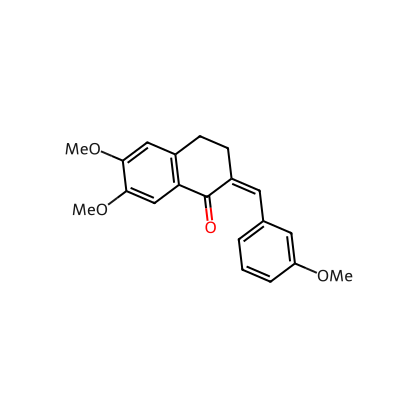 COc1cccc(C=C2CCc3cc(OC)c(OC)cc3C2=O)c1